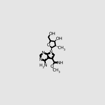 COC(=N)c1cn([C@H]2OC(CO)[C@@H](O)[C@@H]2C)c2ncnc(N)c12